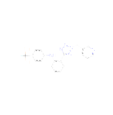 FC(P)(P)c1ccc(Nc2ccccc2-c2nnn(Cc3cccnc3)n2)cc1